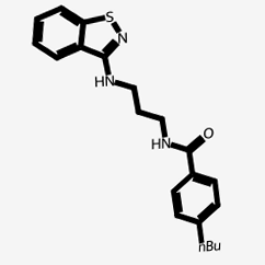 CCCCc1ccc(C(=O)NCCCNc2nsc3ccccc23)cc1